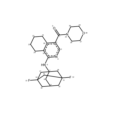 O=C(c1cnc(NC23CC4CC(F)(CC(F)(C4)C2)C3)c2c1CCCC2)N1CCOCC1